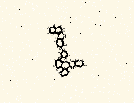 c1ccc2c(c1)-c1nc3ccccc3nc1-n1c3ccc(-c4ccc5c(c4)oc4ccc6ccccc6c45)cc3c3cccc-2c31